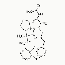 CCC(NC(=O)C(=O)C(COCc1ccccc1)NC(=O)C(C)(NC(=O)c1cccc(F)c1F)C1CCCCC1)C(=O)O